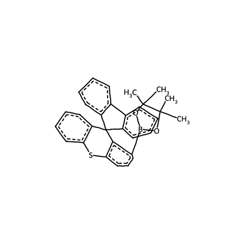 CC1(C)OB(c2cccc3c2C2(c4ccccc4S3)c3ccccc3-c3ccccc32)OC1(C)C